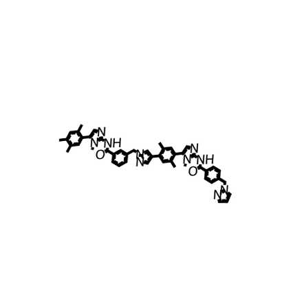 Cc1cc(C)c(-c2cnc(NC(=O)c3cccc(Cn4cc(-c5cc(C)c(-c6cnc(NC(=O)c7ccc(Cn8cccn8)cc7)n6C)cc5C)cn4)c3)n2C)cc1C